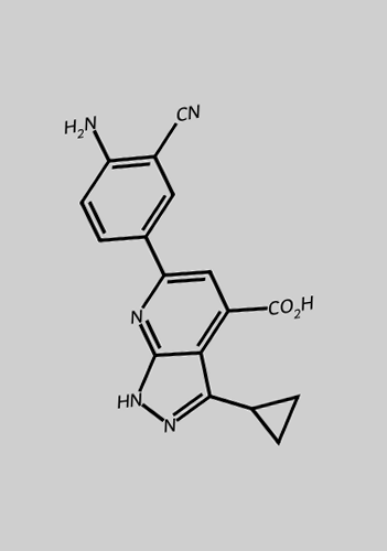 N#Cc1cc(-c2cc(C(=O)O)c3c(C4CC4)n[nH]c3n2)ccc1N